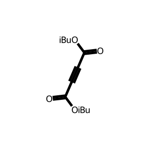 CC(C)COC(=O)C#CC(=O)OCC(C)C